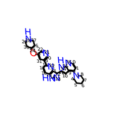 c1cc(N2CCCCC2)c2cc(-c3n[nH]c4ccc(-c5cncc(OC6CCNCC6)c5)nc34)[nH]c2n1